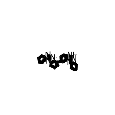 c1cc(-c2ccc3[nH]c4nc5ccccc5n4c3c2)c2c(c1)-n1c(nc3ccccc31)[N]2